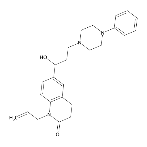 C=CCN1C(=O)CCc2cc(C(O)CCN3CCN(c4ccccc4)CC3)ccc21